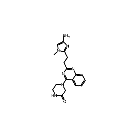 Bc1cn(C)c(CCc2nc(N3CCNC(=O)C3)c3ccccc3n2)n1